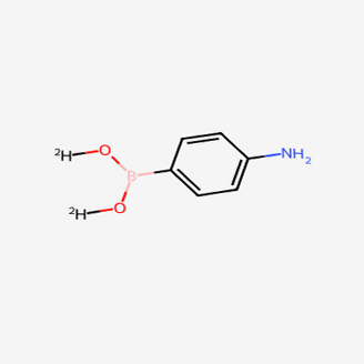 [2H]OB(O[2H])c1ccc(N)cc1